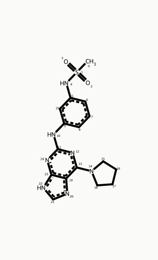 CS(=O)(=O)Nc1cccc(Nc2nc(N3CCCC3)c3nc[nH]c3n2)c1